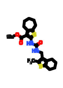 CC(C)(C)OC(=O)c1c(NC(=O)NCc2c(C(F)(F)F)sc3c2CCCC3)sc2c1CCCCC2